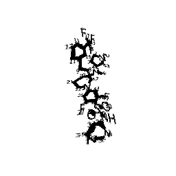 CN1CC[C@H](N(C)[C@@]2(CCc3cccc(C(F)(F)F)c3)CCCN(c3cc(F)c(S(=O)(=O)Nc4ccncn4)c(F)c3)C2)C1